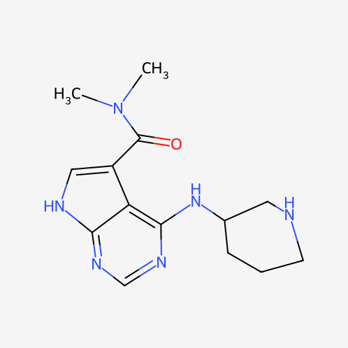 CN(C)C(=O)c1c[nH]c2ncnc(NC3CCCNC3)c12